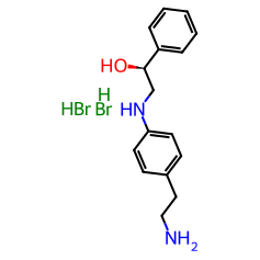 Br.Br.NCCc1ccc(NC[C@@H](O)c2ccccc2)cc1